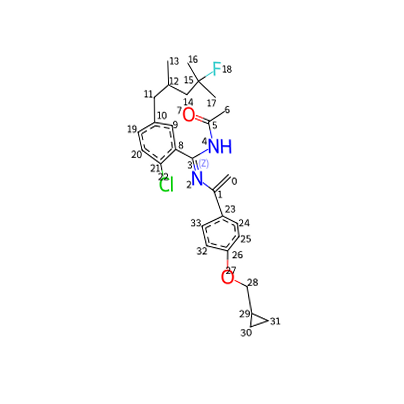 C=C(/N=C(\NC(C)=O)c1cc(CC(C)CC(C)(C)F)ccc1Cl)c1ccc(OCC2CC2)cc1